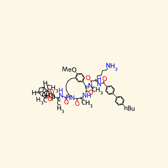 CCCCc1ccc(-c2ccc(C(=O)N[C@@H](CCCCN)C(=O)N(C)[C@@H]3C(=O)N[C@@H](C)C(=O)N[C@H](C(=O)N[C@@H](C)B4O[C@]5(C)C[C@@H]6C[C@@H](C6(C)C)[C@]5(C)O4)CCCCc4cc3ccc4OC)cc2)cc1